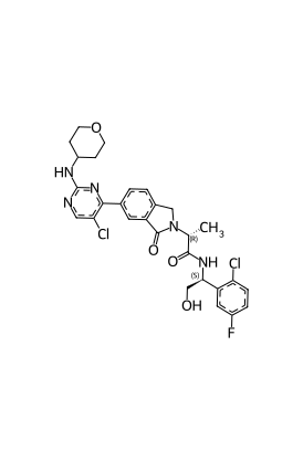 C[C@H](C(=O)N[C@H](CO)c1cc(F)ccc1Cl)N1Cc2ccc(-c3nc(NC4CCOCC4)ncc3Cl)cc2C1=O